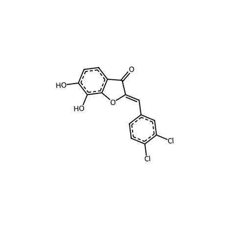 O=C1C(=Cc2ccc(Cl)c(Cl)c2)Oc2c1ccc(O)c2O